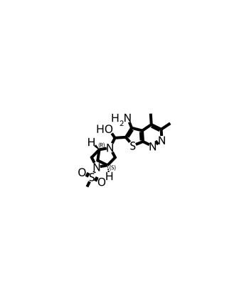 Cc1nnc2sc(C(O)N3C[C@@H]4C[C@@H]3CN4S(C)(=O)=O)c(N)c2c1C